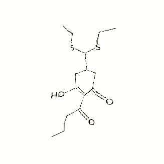 CCCC(=O)C1=C(O)CC(C(SCC)SCC)CC1=O